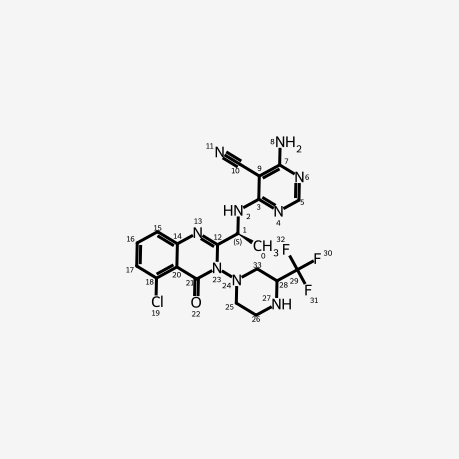 C[C@H](Nc1ncnc(N)c1C#N)c1nc2cccc(Cl)c2c(=O)n1N1CCNC(C(F)(F)F)C1